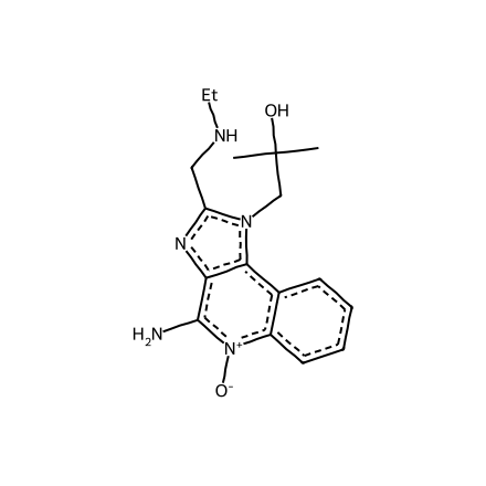 CCNCc1nc2c(N)[n+]([O-])c3ccccc3c2n1CC(C)(C)O